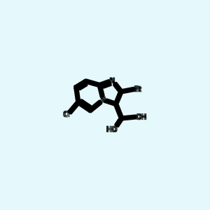 CCC1N=C2C=CC(Cl)=CN2C1C(O)O